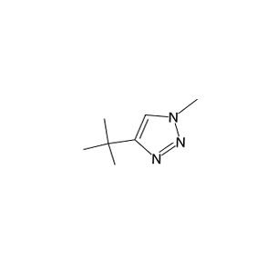 Cn1cc(C(C)(C)C)nn1